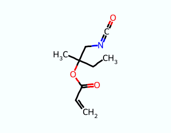 C=CC(=O)OC(C)(CC)CN=C=O